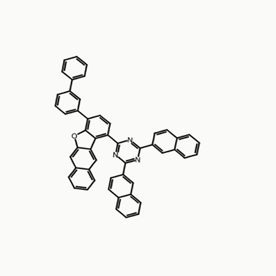 c1ccc(-c2cccc(-c3ccc(-c4nc(-c5ccc6ccccc6c5)nc(-c5ccc6ccccc6c5)n4)c4c3oc3cc5ccccc5cc34)c2)cc1